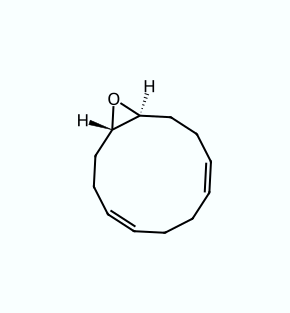 C1=CCC[C@@H]2O[C@H]2CCC=CCC1